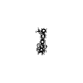 CC(C)Oc1ccccc1N1CCN(C2CCC(N3C(=O)c4c(F)c(F)c(F)c(F)c4C3=O)CC2)CC1